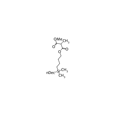 CCCCCCCCCC[Si](C)(C)CCCCOC(=O)C(C)C(=O)OC